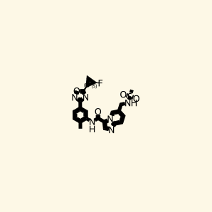 Cc1ccc(-c2noc([C@H]3C[C@@H]3F)n2)cc1NC(=O)c1cnc2ccc(CNS(C)(=O)=O)cn12